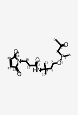 CC(=O)CP(C)OCCC(C)(C)NC(=O)CCN1C(=O)C=CC1=O